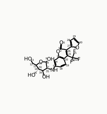 O=c1oc2cc(N[C@@H]3C(O)OC(CO)[C@@H](O)C3O)ccc2c(C(F)(F)F)c1-c1ccco1